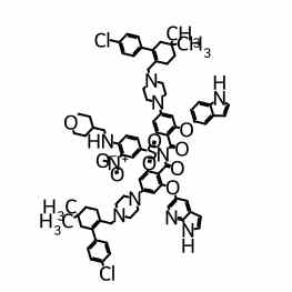 CC1(C)CCC(CN2CCN(c3ccc(C(=O)N(C(=O)c4ccc(N5CCN(CC6=C(c7ccc(Cl)cc7)CC(C)(C)CC6)CC5)cc4Oc4cnc5[nH]ccc5c4)S(=O)(=O)c4ccc(NCC5CCOCC5)c([N+](=O)[O-])c4)c(Oc4ccc5[nH]ccc5c4)c3)CC2)=C(c2ccc(Cl)cc2)C1